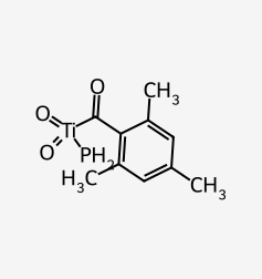 Cc1cc(C)c([C](=O)[Ti](=[O])(=[O])[PH2])c(C)c1